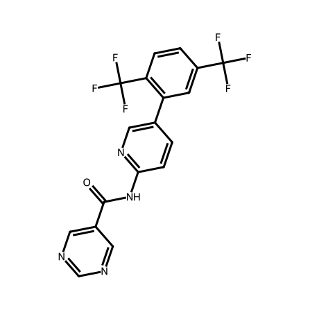 O=C(Nc1ccc(-c2cc(C(F)(F)F)ccc2C(F)(F)F)cn1)c1cncnc1